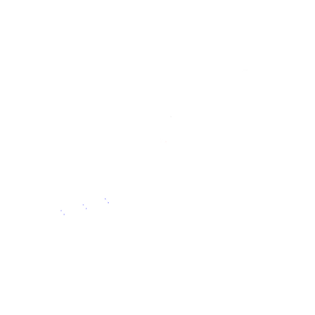 C#CCCC(=O)OCCCN=[N+]=[N-]